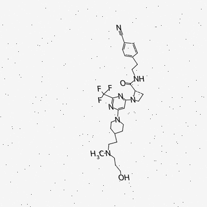 CN(CCCO)CCC1CCN(c2cc(N3CCC3C(=O)NCCc3ccc(C#N)cc3)nc(C(F)(F)F)n2)CC1